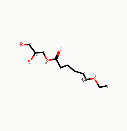 CCO[SiH2]CCCCC(=O)OCC(O)CO